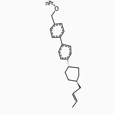 CC=CC[C@H]1CC[C@H](c2ccc(-c3ccc(COCCC)cc3)cc2)CC1